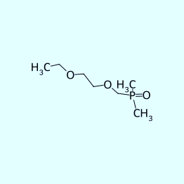 CCOCCOCP(C)(C)=O